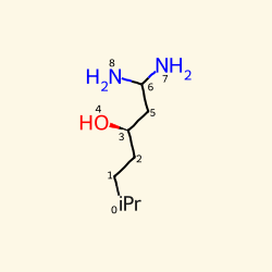 CC(C)CC[C@@H](O)CC(N)N